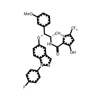 COc1cccc([C@@H](Oc2ccc3c(cnn3-c3ccc(F)cc3)c2)[C@H](C)NC(=O)c2sc(C(F)(F)F)cc2O)c1